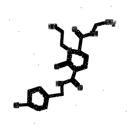 [CH2]CNC(=O)c1ccc(C(=O)NCc2ccc(Cl)cc2)c(=O)n1CCO